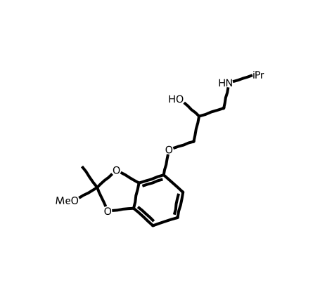 COC1(C)Oc2cccc(OCC(O)CNC(C)C)c2O1